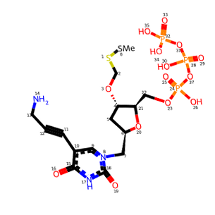 CSSCO[C@H]1C[C@H](Cn2cc(C#CCN)c(=O)[nH]c2=O)O[C@@H]1COP(=O)(O)OP(=O)(O)OP(=O)(O)O